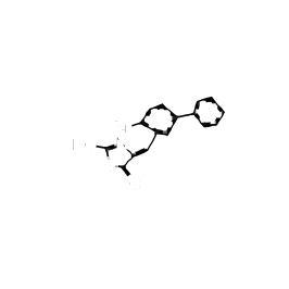 CC1=N/C(=C\c2cc(-c3ccccc3)ccc2Br)C(=O)O1